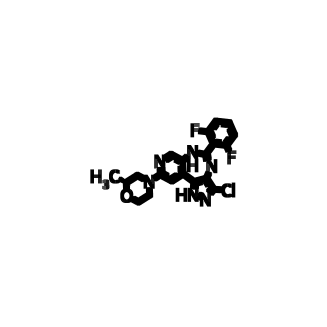 C[C@H]1CN(c2cc3c(cn2)NC(c2c(F)cccc2F)=Nc2c(Cl)n[nH]c2-3)CCO1